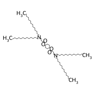 CCCCCCCCCCCCCCN(CCCCCCCCCCCCCC)CCC(=O)O[C@H]1CC[C@@H](OC(=O)CCN(CCCCCCCCCCCCCC)CCCCCCCCCCCCCC)CC1